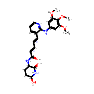 COc1cc(Nc2ncccc2/C=C/C=C/C(=O)NC2CCC(O)NC2=O)cc(OC)c1OC